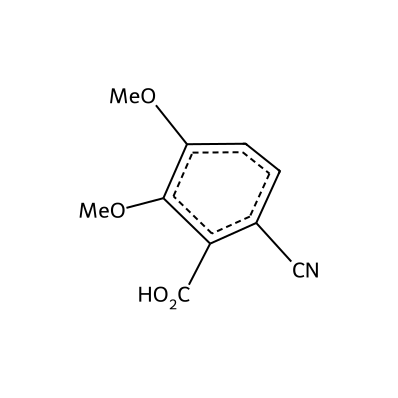 COc1ccc(C#N)c(C(=O)O)c1OC